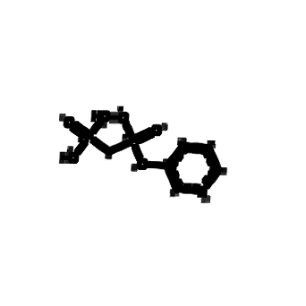 O=P(O)(O)CP(=O)(O)Oc1cccnc1